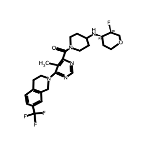 Cc1c(C(=O)N2CCC(N[C@@H]3CCOC[C@@H]3F)CC2)ncnc1N1CCc2ccc(C(F)(F)F)cc2C1